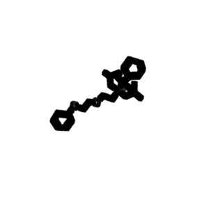 CC(C)C[N+](CCOCCOc1ccccc1)(CC(C)C)C(C)(C)c1ccccc1